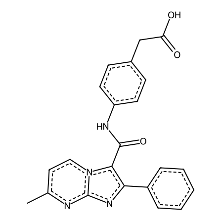 Cc1ccn2c(C(=O)Nc3ccc(CC(=O)O)cc3)c(-c3ccccc3)nc2n1